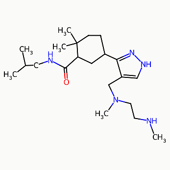 CNCCN(C)Cc1c[nH]nc1C1CCC(C)(C)C(C(=O)NCC(C)C)C1